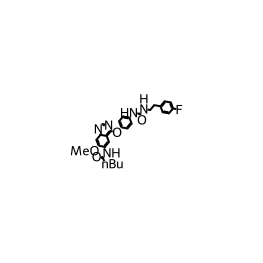 CCCCC(=O)Nc1cc2c(Oc3ccc(NC(=O)NCCc4ccc(F)cc4)cc3)ncnc2cc1OC